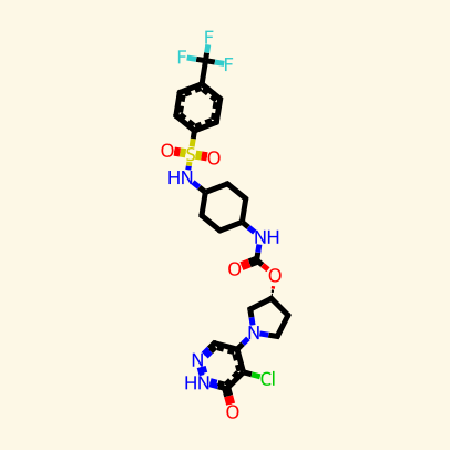 O=C(NC1CCC(NS(=O)(=O)c2ccc(C(F)(F)F)cc2)CC1)O[C@@H]1CCN(c2cn[nH]c(=O)c2Cl)C1